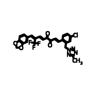 Cc1nnn(Cc2cc(Cl)ccc2C=CC(=O)C(=O)C=CC(=Cc2ccc3c(c2)OCO3)C(F)(F)F)n1